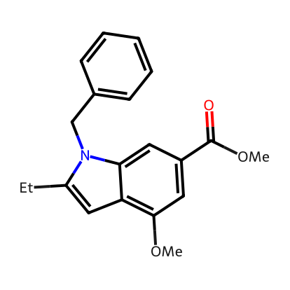 CCc1cc2c(OC)cc(C(=O)OC)cc2n1Cc1ccccc1